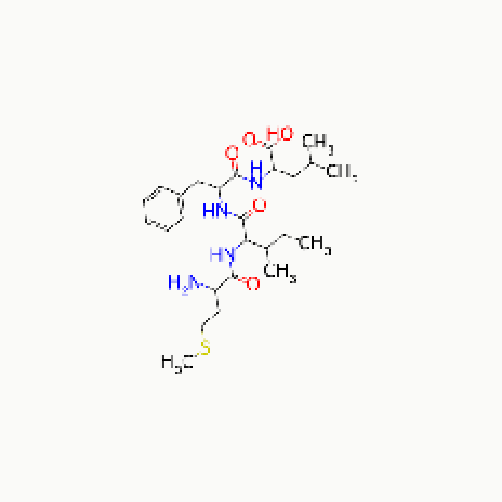 CCC(C)C(NC(=O)C(N)CCSC)C(=O)NC(Cc1ccccc1)C(=O)NC(CC(C)C)C(=O)O